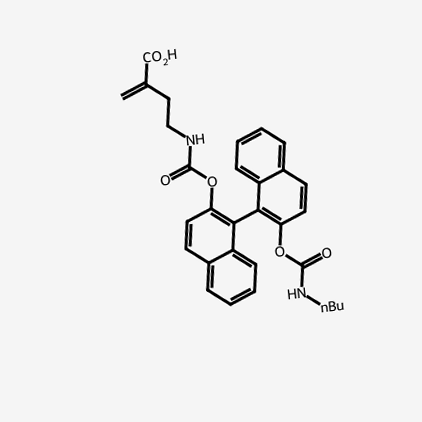 C=C(CCNC(=O)Oc1ccc2ccccc2c1-c1c(OC(=O)NCCCC)ccc2ccccc12)C(=O)O